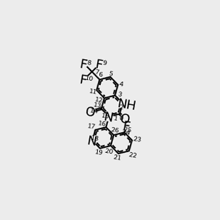 O=c1[nH]c2ccc(C(F)(F)F)cc2c(=O)n1-c1cncc2cccc(F)c12